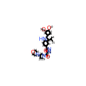 COc1ccc(-c2[nH]c3ccc(-c4nnc(C(=O)N5CCC(N6CCOCC6)C5)o4)cc3c2C(C)C)cc1OC